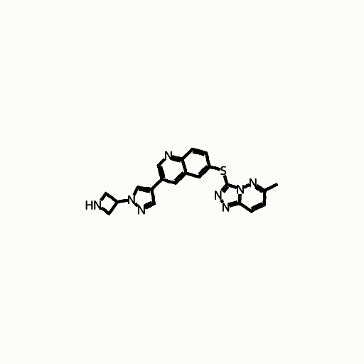 Cc1ccc2nnc(Sc3ccc4ncc(-c5cnn(C6CNC6)c5)cc4c3)n2n1